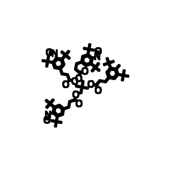 Cc1c(C(C)(C)C)cc(CCC(=O)OCC(COC(=O)CCc2cc(C(C)(C)C)c(N=O)c(C(C)(C)C)c2)(COC(=O)CCc2cc(C(C)(C)C)c(N=O)c(C(C)(C)C)c2)COC(=O)CCc2cc(C(C)(C)C)c(N=O)c(C(C)(C)C)c2)cc1C(C)(C)C